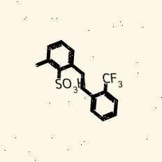 Cc1cccc(CCc2ccccc2C(F)(F)F)c1S(=O)(=O)O